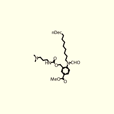 CCCCCCCCCCCCCCCCCCN(C=O)c1ccc(C(=O)OC)cc1COC(=O)NCCCN(C)C